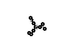 c1ccc(-n2c3ccccc3c3cc(-c4nc(-c5ccc(-c6cc7ccccc7s6)cc5)cc(-c5ccc(-c6cccc7ccccc67)cc5)n4)ccc32)cc1